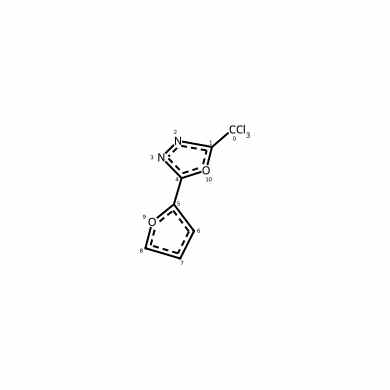 ClC(Cl)(Cl)c1nnc(-c2ccco2)o1